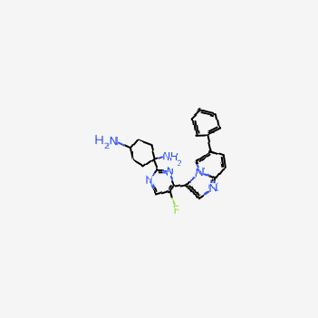 NC1CCC(N)(c2ncc(F)c(-c3cnc4ccc(-c5ccccc5)cn34)n2)CC1